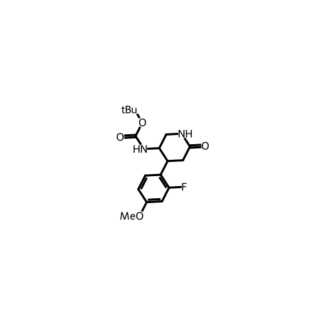 COc1ccc(C2CC(=O)NCC2NC(=O)OC(C)(C)C)c(F)c1